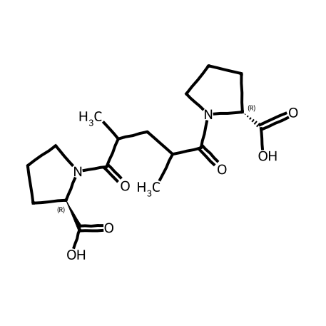 CC(CC(C)C(=O)N1CCC[C@@H]1C(=O)O)C(=O)N1CCC[C@@H]1C(=O)O